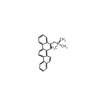 C=P(C)(C)Cc1cc2c(ccc3c4ccccc4ccc32)c2ccccc12